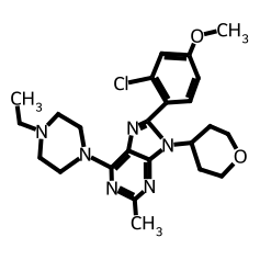 CCN1CCN(c2nc(C)nc3c2nc(-c2ccc(OC)cc2Cl)n3C2CCOCC2)CC1